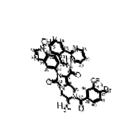 CC1Cn2c(c(C(=O)NCc3ccccc3-c3ncccn3)n(-c3ccc4c(c3)ncn4C)c2=O)CN1C(=O)c1ccc(Br)c(C(F)(F)F)c1